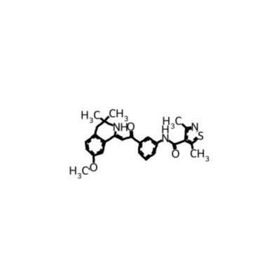 COc1ccc2c(c1)C(=CC(=O)c1cccc(NC(=O)c3c(C)nsc3C)c1)NC(C)(C)C2